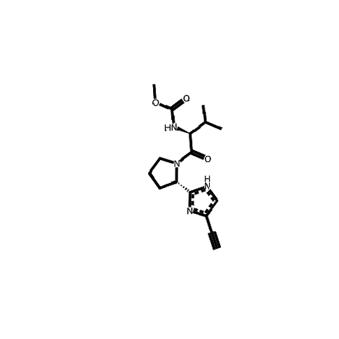 C#Cc1c[nH]c([C@@H]2CCCN2C(=O)[C@@H](NC(=O)OC)C(C)C)n1